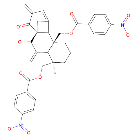 C=C1C=C2C[C@]3(C1=O)C(=O)C(=C)C1[C@](C)(COC(=O)c4ccc([N+](=O)[O-])cc4)CCC[C@@]1(COC(=O)c1ccc([N+](=O)[O-])cc1)C23